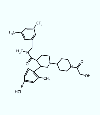 Cc1cc(F)ccc1C1CN(C2CCN(C(=O)CO)CC2)CCC1C(=O)N(C)Cc1cc(C(F)(F)F)cc(C(F)(F)F)c1.Cl